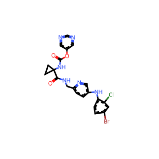 O=C(NC1(C(=O)NCc2ccc(Nc3ccc(Br)cc3Cl)cn2)CC1)Oc1cncnc1